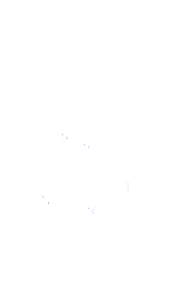 ClCCCn1ncc2ncnc(Cl)c21